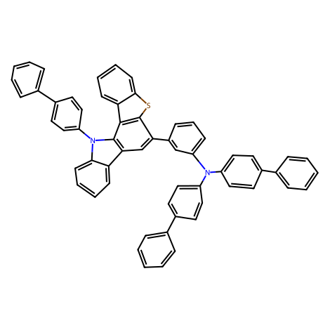 c1ccc(-c2ccc(N(c3ccc(-c4ccccc4)cc3)c3cccc(-c4cc5c6ccccc6n(-c6ccc(-c7ccccc7)cc6)c5c5c4sc4ccccc45)c3)cc2)cc1